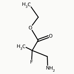 CCOC(=O)C(C)(F)CN